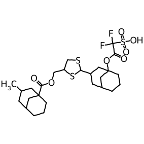 CC1CC2CCCC(C(=O)OCC3CSC(C4CC5CCCC(OC(=O)C(F)(F)S(=O)(=O)O)(C5)C4)S3)(C1)C2